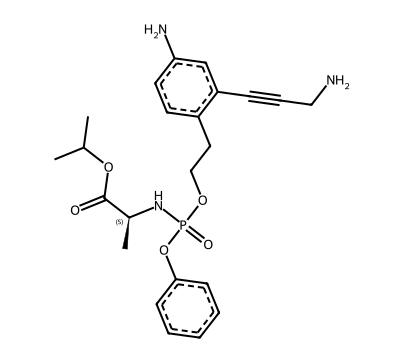 CC(C)OC(=O)[C@H](C)NP(=O)(OCCc1ccc(N)cc1C#CCN)Oc1ccccc1